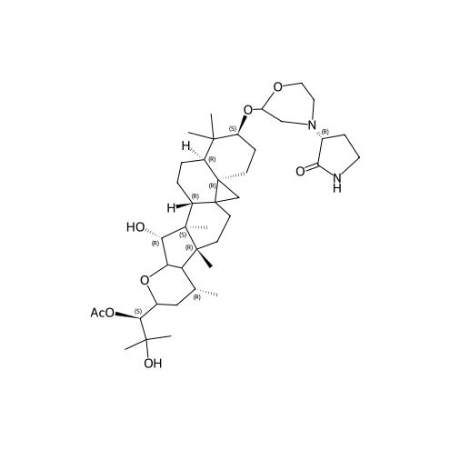 CC(=O)O[C@@H](C1C[C@@H](C)C2C(O1)[C@H](O)[C@@]1(C)[C@@H]3CC[C@H]4C(C)(C)[C@@H](OC5CN([C@@H]6CCNC6=O)CCO5)CC[C@@]45CC35CC[C@]21C)C(C)(C)O